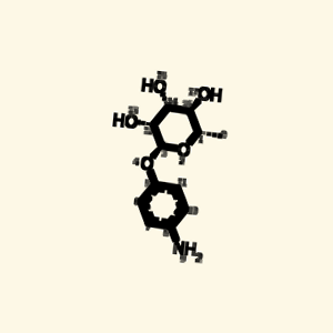 C[C@@H]1O[C@@H](Oc2ccc(N)cc2)[C@H](O)[C@H](O)[C@H]1O